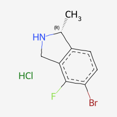 C[C@H]1NCc2c1ccc(Br)c2F.Cl